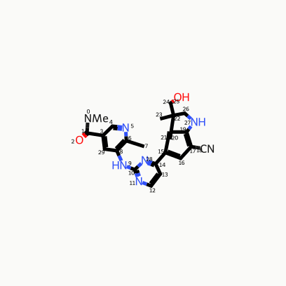 CNC(=O)c1cnc(C)c(Nc2nccc(-c3cc(C#N)c4c(c3)C(C)(CO)CN4)n2)c1